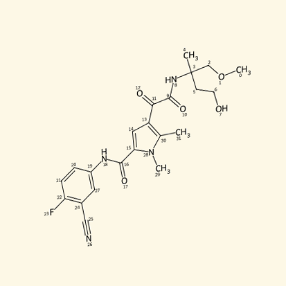 COCC(C)(CCO)NC(=O)C(=O)c1cc(C(=O)Nc2ccc(F)c(C#N)c2)n(C)c1C